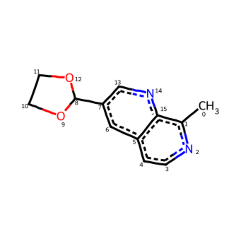 Cc1nccc2cc(C3OCCO3)cnc12